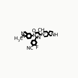 Cc1c(N2CCC3(CCNC3)CC2)nc(-c2ccc(C#N)c(F)c2)n(-c2ccc3c(cnn3C)c2)c1=O